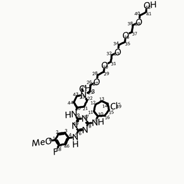 COc1ccc(Nc2nc(NC3CCCCCC3)nc(NC3CC[N+](C)(CCOCCOCCOCCOCCOCCO)CC3)n2)cc1F.[Cl-]